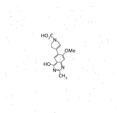 COc1cc2nc(C)nc(O)c2cc1C1=CCN(C(=O)O)CC1